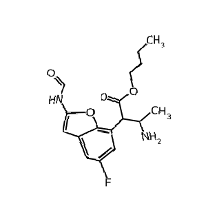 CCCCOC(=O)C(c1cc(F)cc2cc(NC=O)oc12)C(C)N